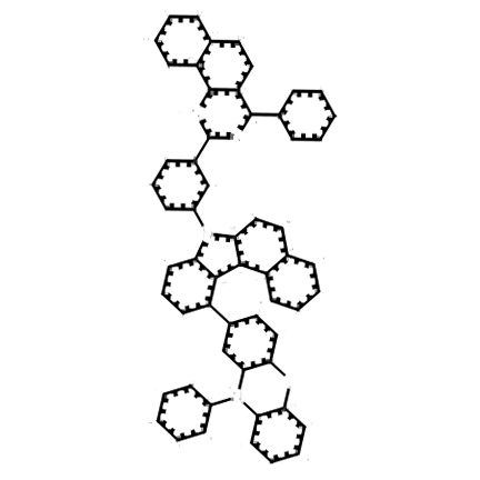 c1ccc(-c2nc(-c3cccc(-n4c5cccc(-c6ccc7c(c6)N(c6ccccc6)c6ccccc6S7)c5c5c6ccccc6ccc54)c3)nc3c2ccc2ccccc23)cc1